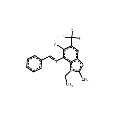 CCn1c(C)nc2cc(C(F)(F)F)c(Cl)c(N=Cc3ccccc3)c21